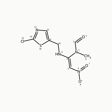 CN(C=O)C(=C[N+](=O)[O-])NCc1cnc(Cl)s1